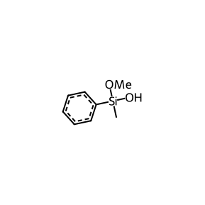 CO[Si](C)(O)c1ccccc1